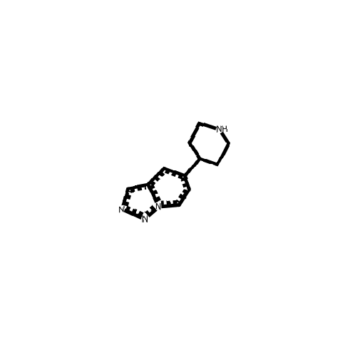 c1cn2nncc2cc1C1CCNCC1